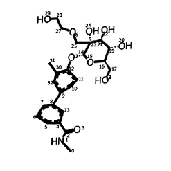 CNC(=O)c1cccc(-c2ccc(O[C@H]3O[C@H](CO)[C@@H](O)[C@H](O)[C@]3(O)COCCO)c(C)c2)c1